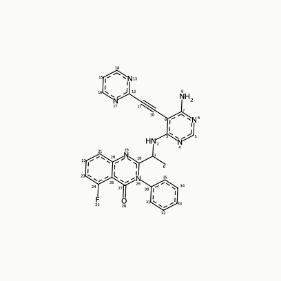 CC(Nc1ncnc(N)c1C#Cc1ncccn1)c1nc2cccc(F)c2c(=O)n1-c1ccccc1